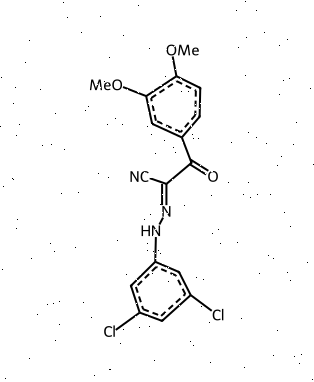 COc1ccc(C(=O)/C(C#N)=N/Nc2cc(Cl)cc(Cl)c2)cc1OC